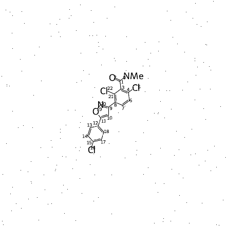 CNC(=O)c1c(Cl)ccc(-c2cc(-c3ccc(Cl)cc3)on2)c1Cl